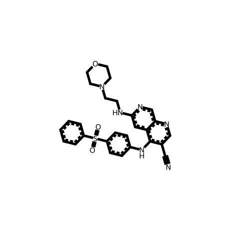 N#Cc1cnc2cnc(NCCN3CCOCC3)cc2c1Nc1ccc(S(=O)(=O)c2ccccc2)cc1